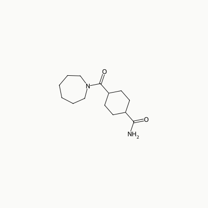 NC(=O)C1CCC(C(=O)N2CCCCCC2)CC1